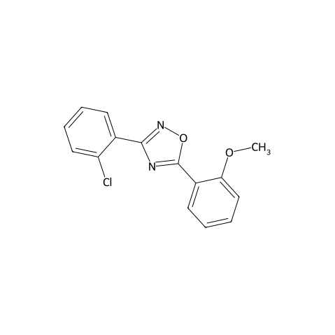 COc1ccccc1-c1nc(-c2ccccc2Cl)no1